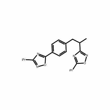 CC(C)c1noc(-c2ccc(CC(C)c3noc(C(C)C)n3)cc2)n1